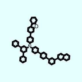 c1ccc(-c2cc(-c3ccccc3)cc(N(c3ccc(-c4ccc(-c5cccc(-c6ccc7ccccc7c6)c5)cc4)cc3)c3ccc(-c4ccc5c(c4)oc4ccccc45)cc3)c2)cc1